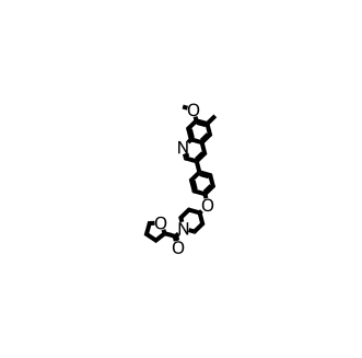 COc1cc2ncc(-c3ccc(OC4CCN(C(=O)C5CCCO5)CC4)cc3)cc2cc1C